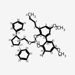 CCCCc1cc(OC)cc2c1op(OCP1[C@H](c3ccccc3)CC[C@H]1c1ccccc1)oc1c(I)cc(OC)cc12